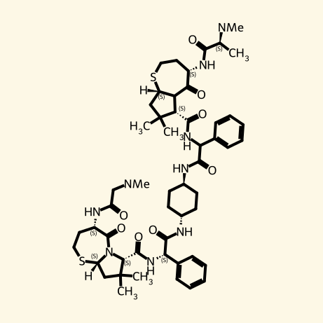 CNCC(=O)N[C@H]1CCS[C@H]2CC(C)(C)[C@@H](C(=O)N[C@H](C(=O)N[C@H]3CC[C@H](NC(=O)C(NC(=O)[C@H]4C5C(=O)[C@@H](NC(=O)[C@H](C)NC)CCS[C@H]5CC4(C)C)c4ccccc4)CC3)c3ccccc3)N2C1=O